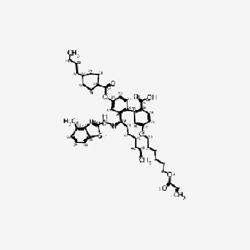 C=CC(=O)OCCCCCCOc1ccc(C(=O)O)c(-c2ccc(OC(=O)C3CCC(CCCC)CC3)cc2C(CCCCCC)=NNc2nc3c(C)cccc3s2)c1